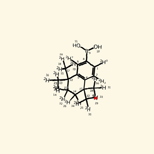 [2H]c1c([2H])c2c(c([2H])c1B(O)O)C(C([2H])([2H])[2H])(C([2H])([2H])[2H])C([2H])([2H])C([2H])([2H])C2(C([2H])([2H])[2H])C([2H])([2H])[2H]